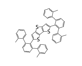 Cc1ccccc1-c1cccc(-c2ccccc2C)c1-c1cc2sc3cc(-c4c(-c5ccccc5C)cccc4-c4ccccc4C)sc3c2s1